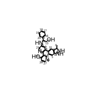 CC1NNc2ccc(-c3cc(NC(CO)c4ccccc4)cnc3-c3cnccc3O)cc21